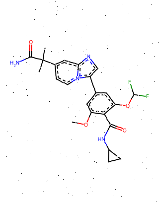 COc1cc(-c2cnc3cc(C(C)(C)C(N)=O)ccn23)cc(OC(F)F)c1C(=O)NC1CC1